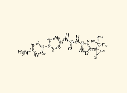 Nc1ccc(-c2ccc(NC(=O)Nc3cc(C4(C(F)(F)F)CC4)on3)nc2)cn1